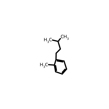 C[C](C)CCc1ccccc1C